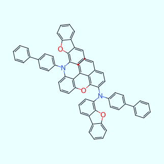 c1ccc(-c2ccc(N(c3cccc4c3-c3cccc5ccc(N(c6ccc(-c7ccccc7)cc6)c6cccc7c6oc6ccccc67)c(c35)O4)c3cccc4c3oc3ccccc34)cc2)cc1